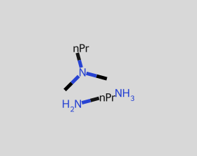 CCCN.CCCN(C)C.N